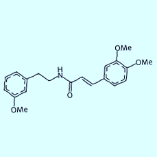 COc1cccc(CCNC(=O)C=Cc2ccc(OC)c(OC)c2)c1